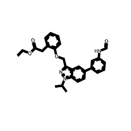 CCOC(=O)Cc1ccccc1OCc1nn(C(C)C)c2ccc(-c3cccc(NC=O)c3)cc12